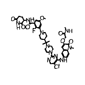 CNC(=O)COc1cc2cc(Nc3nc(N4CCN(C(C)(C)C5CCN(c6cc(OC)cc(C(=O)NC7CCC(=O)NC7=O)c6F)CC5)CC4)ncc3Cl)ccc2n(C)c1=O